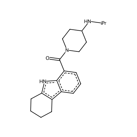 CC(C)NC1CCN(C(=O)c2cccc3c4c([nH]c23)CCCC4)CC1